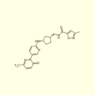 Cc1cc(C(=O)NC[C@H]2CC[C@@H](Nc3ccc(-n4nc(C(F)(F)F)ccc4=O)cn3)C2)on1